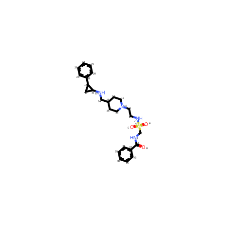 O=C(NCS(=O)(=O)NCCN1CCC(CNC2CC2c2ccccc2)CC1)c1ccccc1